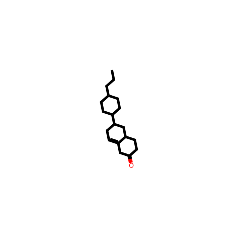 CCCC1CCC(C2CC=C3CC(=O)CCC3C2)CC1